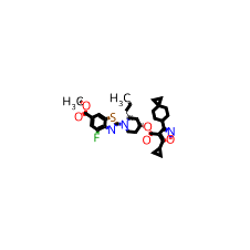 CCC[C@@H]1C[C@H](OC(=O)c2c(C3CCC4(CC3)CC4)noc2C2CC2)CCN1c1nc2c(F)cc(C(=O)OC)cc2s1